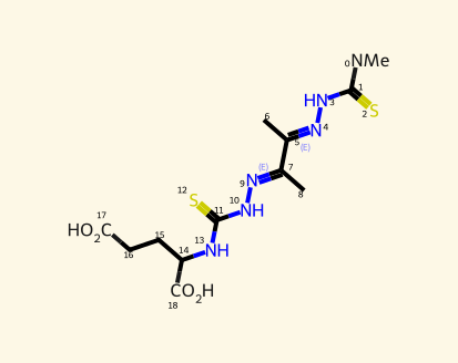 CNC(=S)N/N=C(C)/C(C)=N/NC(=S)NC(CCC(=O)O)C(=O)O